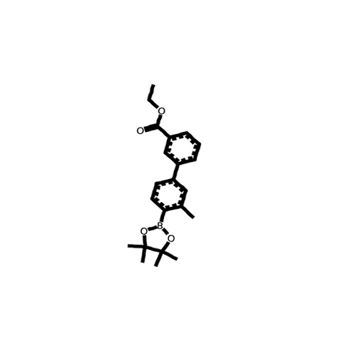 CCOC(=O)c1cccc(-c2ccc(B3OC(C)(C)C(C)(C)O3)c(C)c2)c1